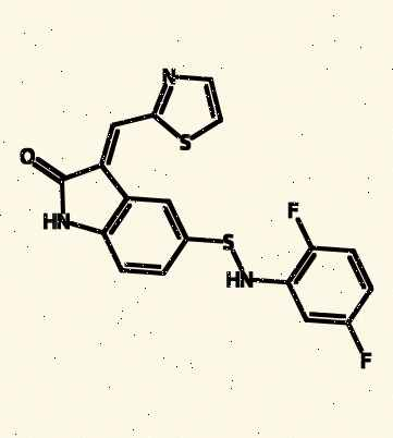 O=C1Nc2ccc(SNc3cc(F)ccc3F)cc2/C1=C\c1nccs1